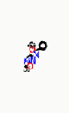 C[Si](C)(C)O/C(=N\c1ccnc(O[Si](C)(C)C)n1)c1ccccc1